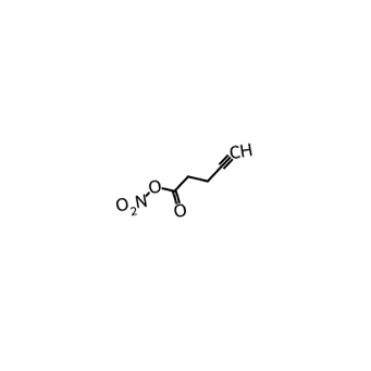 C#CCCC(=O)O[N+](=O)[O-]